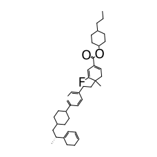 C=C(/C=C\C(=C/C)CCC1(C)CC=C(C(=O)OC2CCC(CCC)CC2)C=C1F)C1CCC(C[C@@H](C)C2=CC=CCC2)CC1